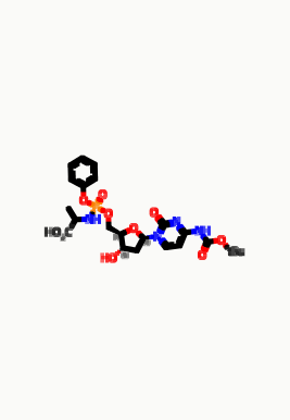 CC(NP(=O)(OC[C@H]1O[C@@H](n2ccc(NC(=O)OC(C)(C)C)nc2=O)C[C@@H]1O)Oc1ccccc1)C(=O)O